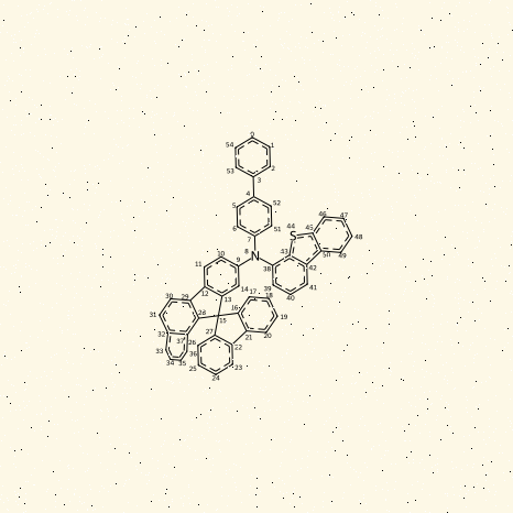 c1ccc(-c2ccc(N(c3ccc4c(c3)C3(c5ccccc5-c5ccccc53)c3c-4ccc4ccccc34)c3cccc4c3sc3ccccc34)cc2)cc1